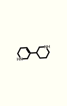 C1=C(C2CCCNC2)CNCC1